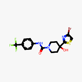 O=C(Nc1ccc(C(F)(F)F)cc1)N1CCC(O)(c2nc(Br)cs2)CC1